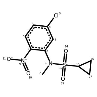 CN(c1cc(Cl)ccc1[N+](=O)[O-])S(=O)(=O)C1CC1